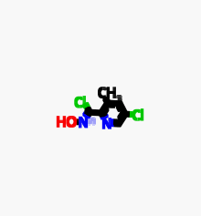 Cc1cc(Cl)cnc1/C(Cl)=N/O